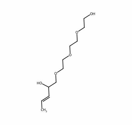 CC=CC(O)COCCOCCOCCO